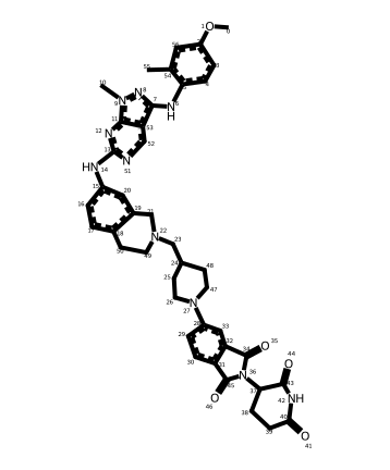 COc1ccc(Nc2nn(C)c3nc(Nc4ccc5c(c4)CN(CC4CCN(c6ccc7c(c6)C(=O)N(C6CCC(=O)NC6=O)C7=O)CC4)CC5)ncc23)c(C)c1